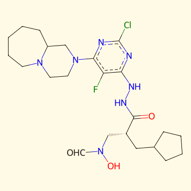 O=CN(O)C[C@@H](CC1CCCC1)C(=O)NNc1nc(Cl)nc(N2CCN3CCCCCC3C2)c1F